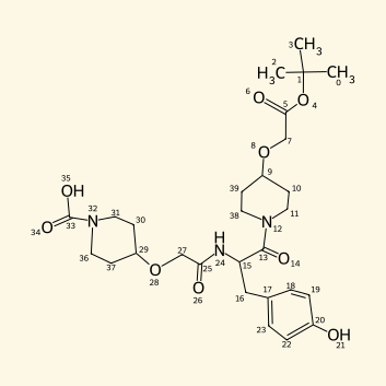 CC(C)(C)OC(=O)COC1CCN(C(=O)C(Cc2ccc(O)cc2)NC(=O)COC2CCN(C(=O)O)CC2)CC1